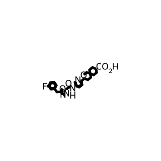 O=C(Nc1ccc(C2CCC3(CCC(C(=O)O)CC3)CO2)nc1)c1nnc(Cc2cccc(F)c2)o1